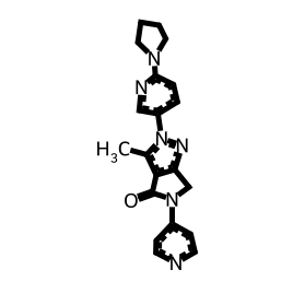 Cc1c2c(nn1-c1ccc(N3CCCC3)nc1)CN(c1ccncc1)C2=O